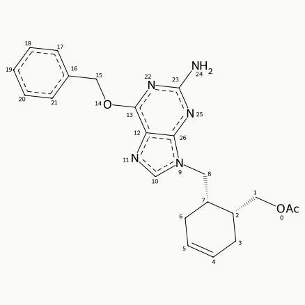 CC(=O)OC[C@@H]1CC=CC[C@@H]1Cn1cnc2c(OCc3ccccc3)nc(N)nc21